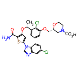 C[C@@H](Oc1cc(-n2cnc3cc(Cl)ccc32)sc1C(N)=O)c1cccc(OC[C@H]2CN(C(=O)O)CCO2)c1Cl